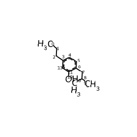 CCCc1ccc(CC(C)C)c(O)c1